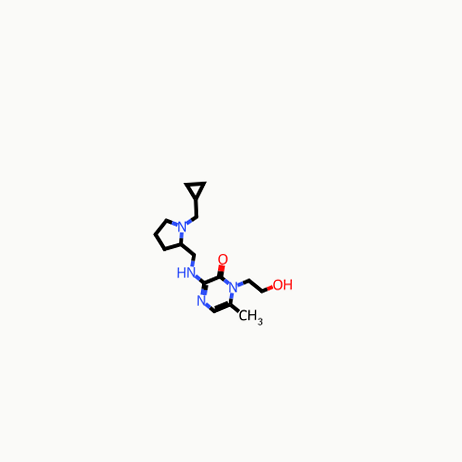 Cc1cnc(NCC2CCCN2CC2CC2)c(=O)n1CCO